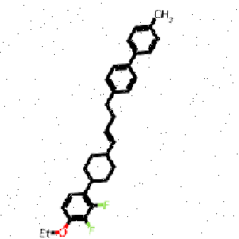 CCOc1ccc(C2CCC(/C=C/CCc3ccc(-c4ccc(C)cc4)cc3)CC2)c(F)c1F